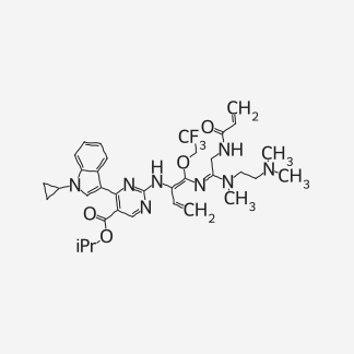 C=CC(=O)NC/C(=N\C(OCC(F)(F)F)=C(/C=C)Nc1ncc(C(=O)OC(C)C)c(-c2cn(C3CC3)c3ccccc23)n1)N(C)CCN(C)C